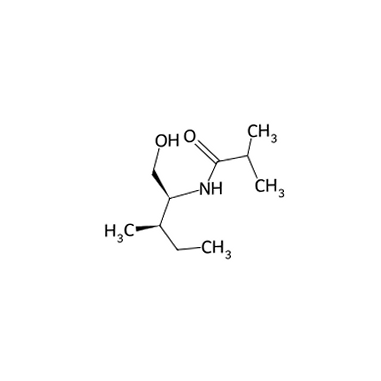 CC[C@@H](C)[C@@H](CO)NC(=O)C(C)C